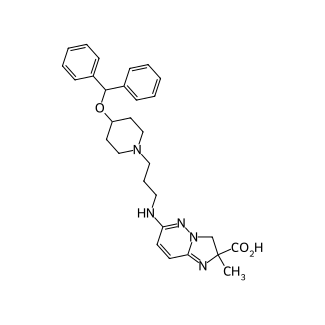 CC1(C(=O)O)CN2N=C(NCCCN3CCC(OC(c4ccccc4)c4ccccc4)CC3)C=CC2=N1